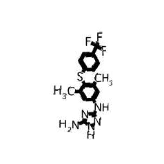 Cc1cc(Nc2n[nH]c(N)n2)cc(C)c1Sc1ccc(C(F)(F)F)cc1